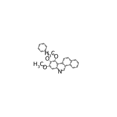 COc1cc2ncc3c4ccccc4ccc3c2c(OC)c1OCc1ccccc1